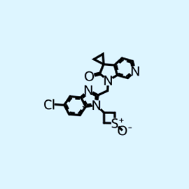 O=C1N(Cc2nc3cc(Cl)ccc3n2C2C[S+]([O-])C2)c2cnccc2C12CC2